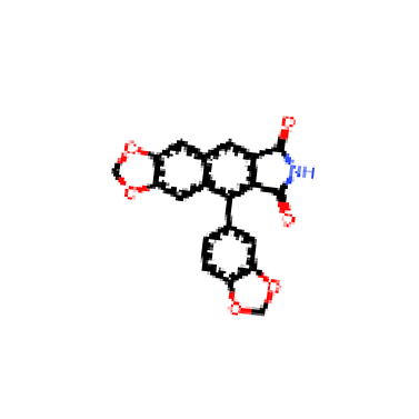 O=C1NC(=O)c2c1cc1cc3c(cc1c2-c1ccc2c(c1)OCO2)OCO3